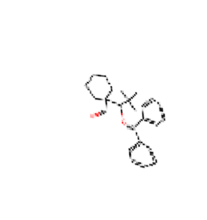 CC(C)(C)C(O[SiH](c1ccccc1)c1ccccc1)C1(C=O)CCCCC1